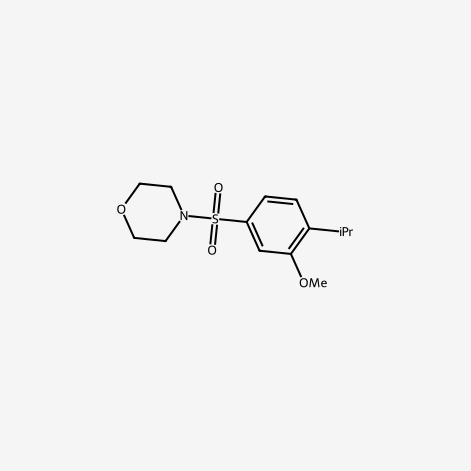 COc1cc(S(=O)(=O)N2CCOCC2)ccc1C(C)C